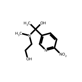 CN(CCO)C(C)(O)c1ccc([N+](=O)[O-])nc1